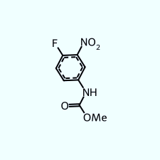 COC(=O)Nc1ccc(F)c([N+](=O)[O-])c1